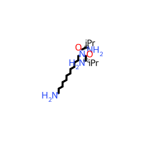 CC(C)[C@H](N)C(=O)N(CCCCCCCCCCCCN)C(=O)[C@@H](N)C(C)C